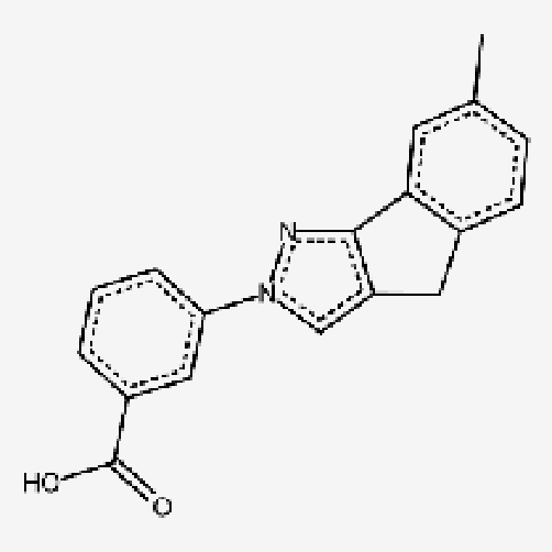 Cc1ccc2c(c1)-c1nn(-c3cccc(C(=O)O)c3)cc1C2